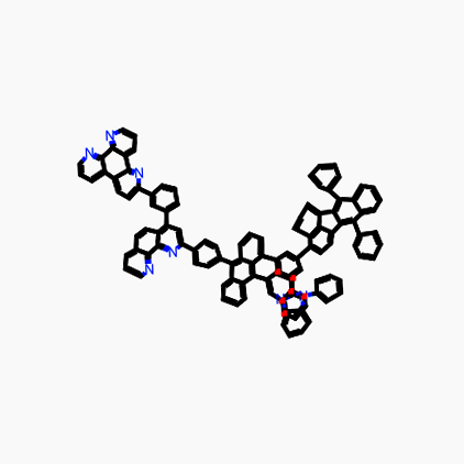 c1ccc(-c2c3c(c(-c4ccccc4)c4ccccc24)-c2ccc(-c4cc(-c5cccc6c(-c7ccc(-c8cc(-c9cccc(-c%10ccc%11c%12cccnc%12c%12ncccc%12c%11n%10)c9)c9ccc%10cccnc%10c9n8)cc7)c7ccccc7c(-c7ccc8ccccc8c7)c56)cc(-c5nc6ccccc6n5-c5ccccc5)c4)c4cccc-3c24)cc1